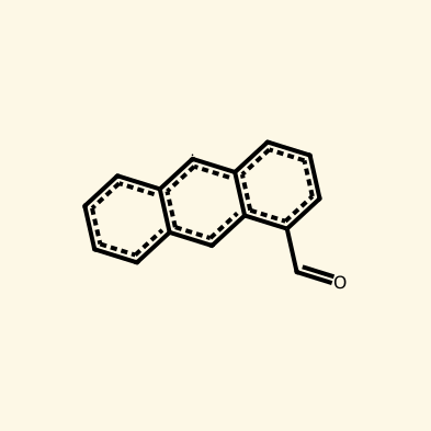 O=Cc1cccc2[c]c3ccccc3cc12